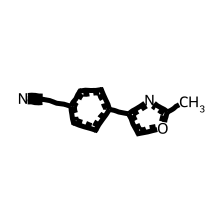 Cc1nc(-c2ccc(C#N)cc2)co1